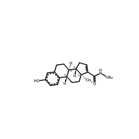 CCCCNC(=O)C1=CC[C@H]2[C@@H]3CCc4cc(O)ccc4[C@H]3CC[C@]12C